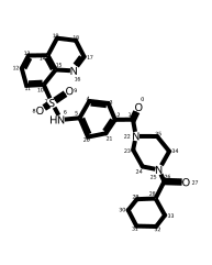 O=C(c1ccc(NS(=O)(=O)c2cccc3c2N=CCC3)cc1)N1CCN(C(=O)C2CCCCC2)CC1